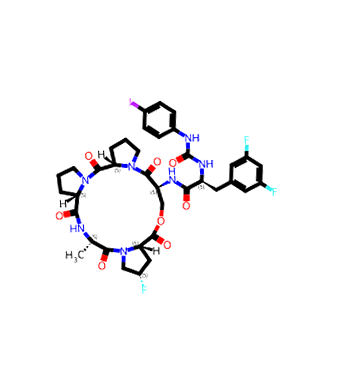 C[C@@H]1NC(=O)[C@@H]2CCCN2C(=O)[C@@H]2CCCN2C(=O)[C@@H](NC(=O)[C@H](Cc2cc(F)cc(F)c2)NC(=O)Nc2ccc(I)cc2)COC(=O)[C@@H]2C[C@H](F)CN2C1=O